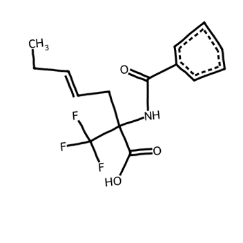 CCC=CCC(NC(=O)c1ccccc1)(C(=O)O)C(F)(F)F